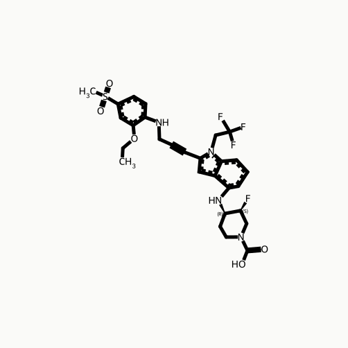 CCOc1cc(S(C)(=O)=O)ccc1NCC#Cc1cc2c(N[C@@H]3CCN(C(=O)O)C[C@@H]3F)cccc2n1CC(F)(F)F